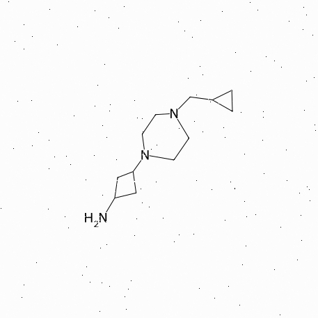 NC1CC(N2CCN(CC3CC3)CC2)C1